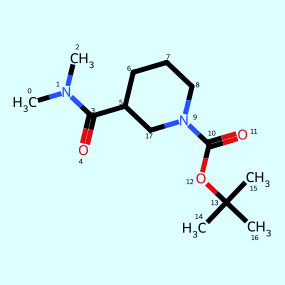 CN(C)C(=O)C1CCCN(C(=O)OC(C)(C)C)C1